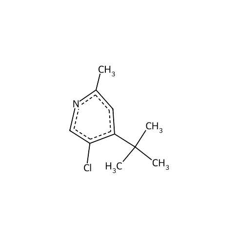 Cc1cc(C(C)(C)C)c(Cl)cn1